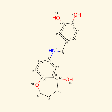 Oc1ccc(CNc2ccc3c(c2)C(O)CCCO3)cc1O